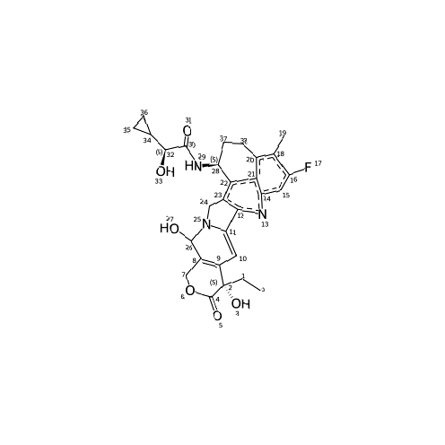 CC[C@@]1(O)C(=O)OCC2=C1C=C1c3nc4cc(F)c(C)c5c4c(c3CN1C2O)[C@@H](NC(=O)[C@@H](O)C1CC1)CC5